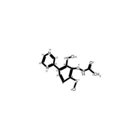 CC(=O)NOc1c(SCl)ccc(-c2cnccn2)c1SCl